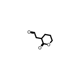 O=CCC1CCCOC1=O